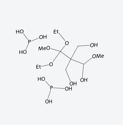 CCOC(OC)(OCC)C(CO)(CO)C(O)OC.OP(O)O.OP(O)O